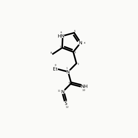 CCN(Cc1nc[nH]c1C)C(=N)N=S